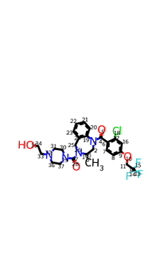 C[C@@H]1CN(C(=O)c2ccc(OCC(F)(F)F)cc2Cl)c2ccccc2CN1C(=O)N1CCN(CCO)CC1